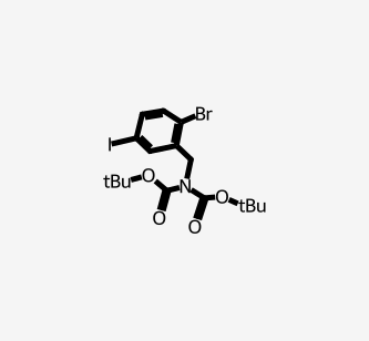 CC(C)(C)OC(=O)N(Cc1cc(I)ccc1Br)C(=O)OC(C)(C)C